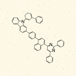 C1=C(c2ccccc2)C=C(n2c3ccccc3c3ccc(-c4ccc(-c5ccc(-c6cc(-c7ccccc7)nc(-c7ccccc7)n6)c6ccccc56)cc4)cc32)CC1